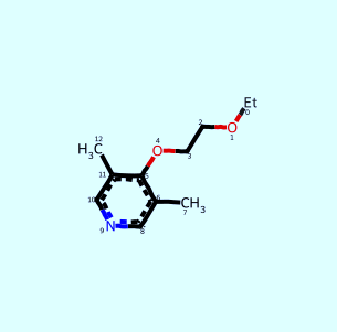 CCOCCOc1c(C)[c]ncc1C